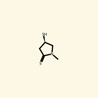 CN1C[C@H](S)CC1=S